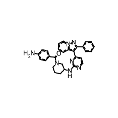 Nc1ccc(C(=O)N2CCCC(Nc3nccc(-c4c(-c5ccccc5)nn5ccccc45)n3)C2)cc1